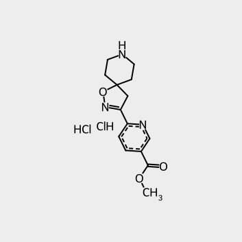 COC(=O)c1ccc(C2=NOC3(CCNCC3)C2)nc1.Cl.Cl